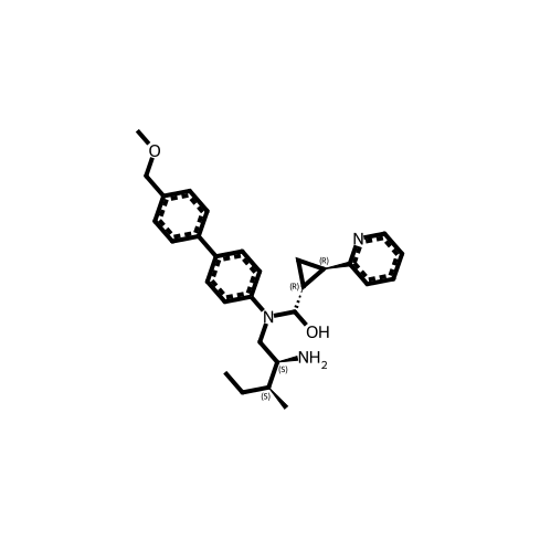 CC[C@H](C)[C@H](N)CN(c1ccc(-c2ccc(COC)cc2)cc1)C(O)[C@@H]1C[C@H]1c1ccccn1